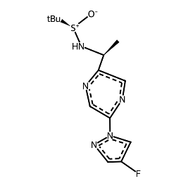 C[C@H](N[S@+]([O-])C(C)(C)C)c1cnc(-n2cc(F)cn2)cn1